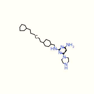 Nc1cc(N2CCNCC2)nc(NCC2CCC(CCCCCCC3CCCCC3)CC2)n1